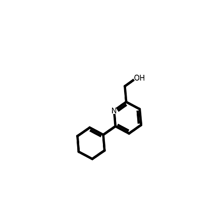 OCc1cccc(C2=CCCCC2)n1